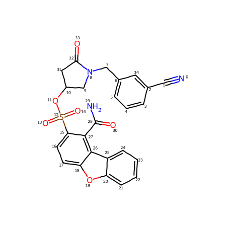 N#Cc1cccc(CN2CC(OS(=O)(=O)c3ccc4oc5ccccc5c4c3C(N)=O)CC2=O)c1